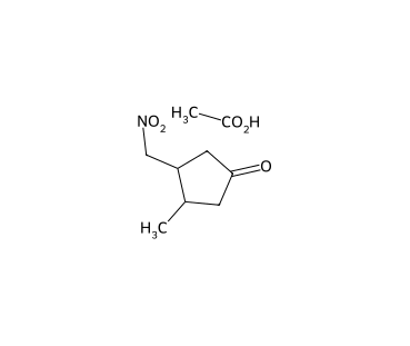 CC(=O)O.CC1CC(=O)CC1C[N+](=O)[O-]